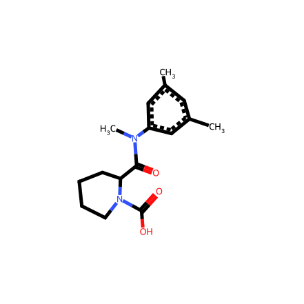 Cc1cc(C)cc(N(C)C(=O)C2CCCCN2C(=O)O)c1